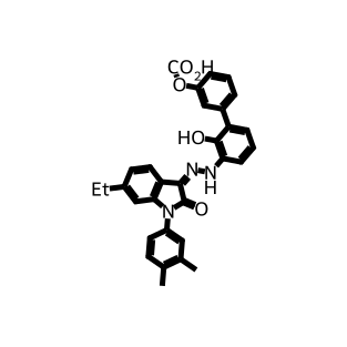 CCc1ccc2c(c1)N(c1ccc(C)c(C)c1)C(=O)C2=NNc1cccc(-c2cccc(OC(=O)O)c2)c1O